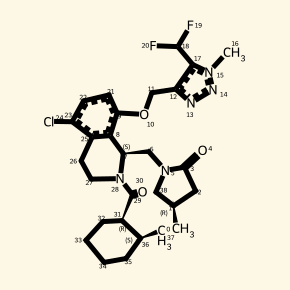 C[C@@H]1CC(=O)N(C[C@@H]2c3c(OCc4nnn(C)c4C(F)F)ccc(Cl)c3CCN2C(=O)[C@@H]2CCCC[C@@H]2C)C1